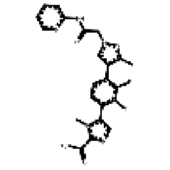 Cc1nn(CC(=O)Nc2ccccn2)cc1-c1ccc(-c2cnc(C(N)=O)n2C)c(F)c1F